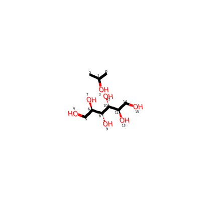 CC(C)O.OC[C@@H](O)[C@@H](O)[C@H](O)[C@H](O)CO